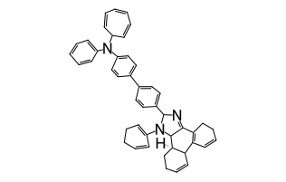 C1=CC=CC(N(c2ccccc2)c2ccc(-c3ccc(C4N=C5C6=C(C=CCC6)C6C=CCC[C@H]6C5N4C4=CCCC=C4)cc3)cc2)C=C1